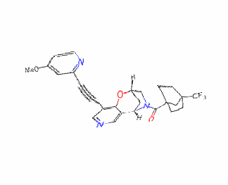 COc1ccnc(C#Cc2cncc3c2O[C@H]2C[C@@H]3N(C(=O)C34CCC(C(F)(F)F)(CC3)C4)C2)c1